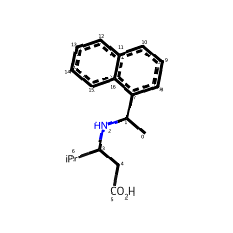 CC(NC(CC(=O)O)C(C)C)c1cccc2ccccc12